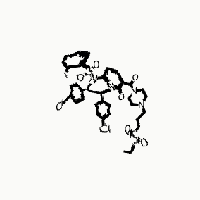 CCS(=O)(=O)CCCN1CCN(C(=O)c2ccc3n(c2=O)[C@@H](c2ccc(Cl)cc2)[C@@H](c2ccc(Cl)cc2)N3S(=O)(=O)c2ccccc2F)CC1